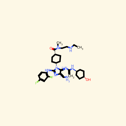 C=C(/N=C1\C(=C/N)N=C(Nc2ccc(F)cc2F)N1[C@H]1CC[C@@H](C(=O)N(C)CCNCC)CC1)N[C@H]1CC[C@H](O)CC1